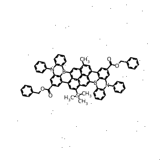 Cc1cc2c3c(cc4c([Si](C)(C)C)cc5c6c(cc1c3c46)B1c3ccccc3N(c3ccccc3)c3cc(C(=O)OCc4ccccc4)cc-5c31)B1c3ccccc3N(c3ccccc3)c3cc(C(=O)OCc4ccccc4)cc-2c31